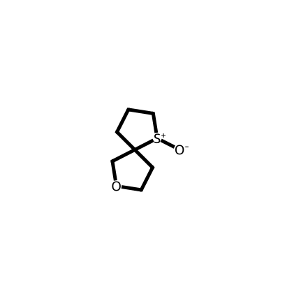 [O-][S+]1CCCC12CCOC2